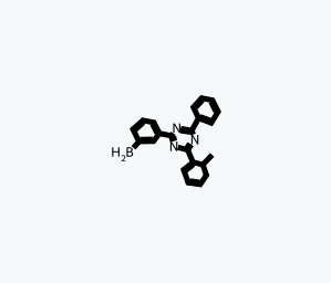 Bc1cccc(-c2nc(C3=CC=CCC3C)nc(-c3ccccc3)n2)c1